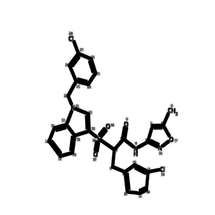 Cc1cc(NC(=O)C(Cc2cccc(Cl)c2)S(=O)(=O)c2cn(Cc3cccc(Cl)c3)c3ccccc23)no1